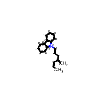 C=C(/C=C\C)C/C=C/n1c2ccccc2c2ccccc21